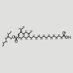 CCCCC(CC)COC(=O)C(CCCCCCCCCCCCCCCCCC(=O)O)CC(CC)CCCC